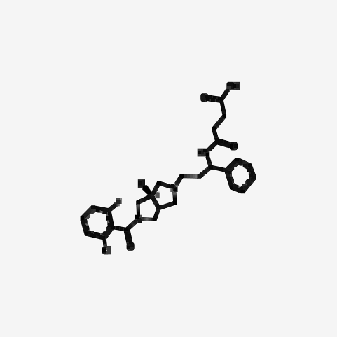 O=C(O)CCC(=O)NC(CCN1CC2CN(C(=O)c3c(F)cccc3Cl)C[C@@H]2C1)c1ccccc1